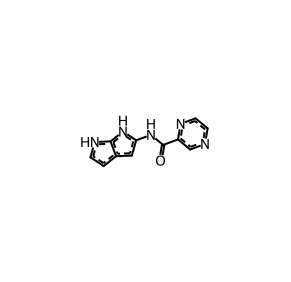 O=C(Nc1cc2cc[nH]c2[nH]1)c1cnccn1